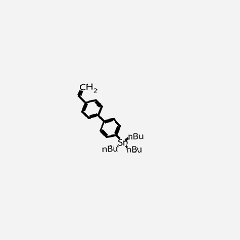 C=Cc1ccc(-c2cc[c]([Sn]([CH2]CCC)([CH2]CCC)[CH2]CCC)cc2)cc1